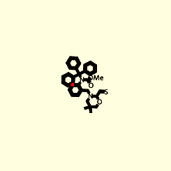 COC(=O)N(c1ccccc1CN1CC(C)(C)COC1C=S)C(c1ccccc1)(c1ccccc1)c1ccccc1